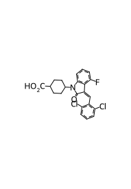 O=C(O)C1CCC(N2C(=O)/C(=C\c3c(Cl)cccc3Cl)c3c(F)cccc32)CC1